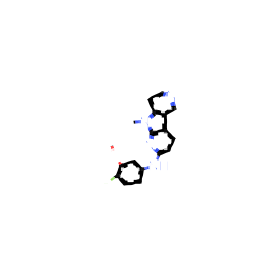 COc1cc(Nc2ccc3c4cnccc4n(C)c3n2)ccc1F